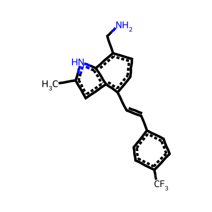 Cc1cc2c(/C=C/c3ccc(C(F)(F)F)cc3)ccc(CN)c2[nH]1